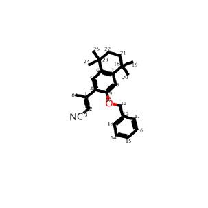 CC(=CC#N)c1cc2c(cc1OCc1ccccc1)C(C)(C)CCC2(C)C